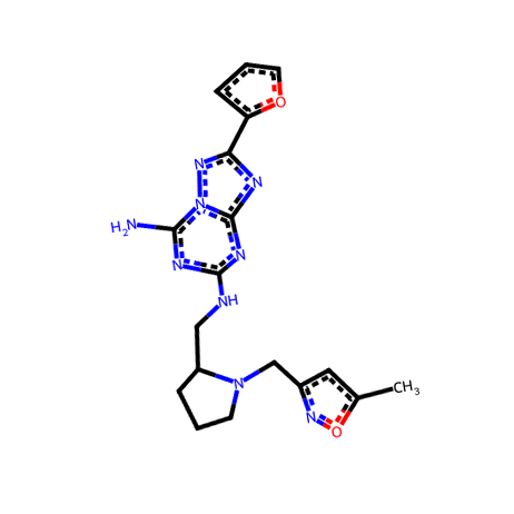 Cc1cc(CN2CCCC2CNc2nc(N)n3nc(-c4ccco4)nc3n2)no1